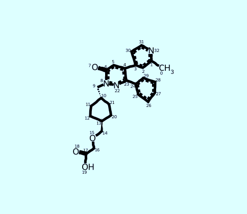 Cc1cc(-c2cc(=O)n(C[C@H]3CC[C@H](COCC(=O)O)CC3)nc2-c2ccccc2)ccn1